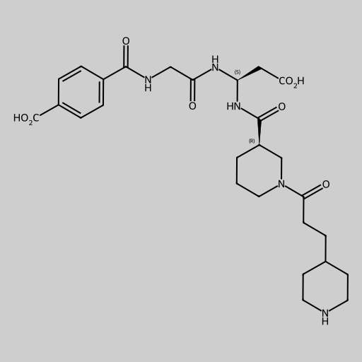 O=C(O)C[C@H](NC(=O)CNC(=O)c1ccc(C(=O)O)cc1)NC(=O)[C@@H]1CCCN(C(=O)CCC2CCNCC2)C1